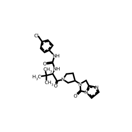 CC(C)(C)[C@@H](NC(=O)Nc1ccc(Cl)cc1)C(=O)N1CCC(N2Cc3nccn3C2=O)C1